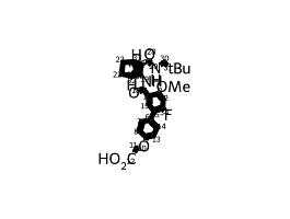 COc1cc(F)c(-c2ccc(OCC(=O)O)cc2)cc1C(=O)N[C@@H]1[C@H]2CC[C@H](C2)[C@@H]1C(=O)NCC(C)(C)C